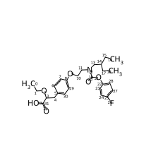 CCOC(Cc1ccc(OCCN(CC(CC)CC)C(=O)Oc2ccc(F)cc2)cc1)C(=O)O